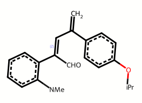 C=C(/C=C(\C=O)c1ccccc1NC)c1ccc(OC(C)C)cc1